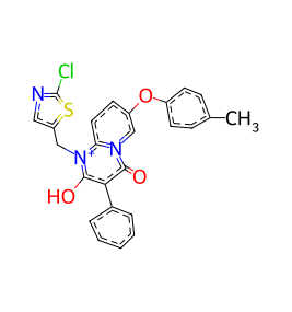 Cc1ccc(Oc2ccc3n(c2)c(=O)c(-c2ccccc2)c(O)[n+]3Cc2cnc(Cl)s2)cc1